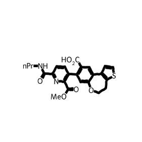 CCCNC(=O)c1ccc(-c2cc3c(cc2C(=O)O)-c2ccsc2CCO3)c(C(=O)OC)n1